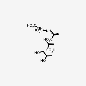 C=C(C)C(=O)O.C=C(C)C(=O)O.CC(O)CO.NC(=O)O.NC(=O)O